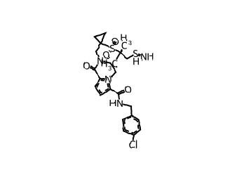 CC(C)(C[SH]=N)S(=O)(=O)C1(CN2CCn3c(C(=O)NCc4ccc(Cl)cc4)ccc3C2=O)CC1